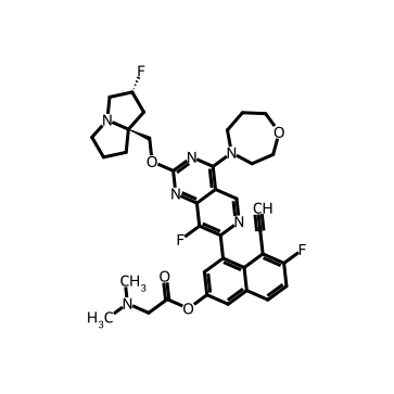 C#Cc1c(F)ccc2cc(OC(=O)CN(C)C)cc(-c3ncc4c(N5CCCOCC5)nc(OC[C@@]56CCCN5C[C@H](F)C6)nc4c3F)c12